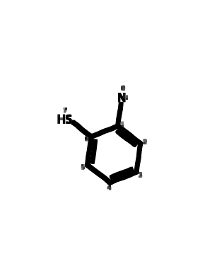 [N]c1ccccc1S